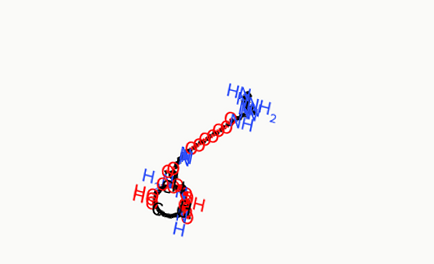 COC(=O)N[C@H]1C[C@@H]2CC[C@@H](C)[C@@](O)(O2)C(=O)C(=O)N2CCCC[C@H]2C(=O)O[C@H]([C@H](N)C[C@@H]2CC[C@@H](OCCCCc3cn(CCOCCOCCOCCOCCOCCOCCC(=O)NCCCCn4nc(-c5cnc6[nH]ccc6c5)c5c(N)ncnc54)nn3)[C@H](OC)C2)CC(=O)[C@H](C)/C=C(\C)[C@@H](O)[C@@H](O)C(=O)[C@H](C)C[C@H](C)/C=C/C=C/C=C/1C